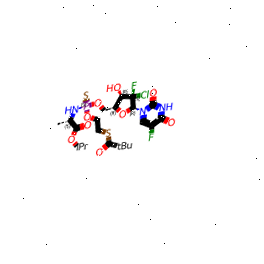 CC(C)OC(=O)[C@H](C)N[P@@](=S)(OCCSC(=O)C(C)(C)C)OC[C@H]1O[C@@H](n2cc(F)c(=O)[nH]c2=O)[C@@](F)(Cl)[C@@H]1O